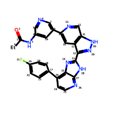 CCC(=O)Nc1cncc(-c2cc3c(-c4nc5c(-c6ccc(F)cc6)ccnc5[nH]4)n[nH]c3cn2)c1